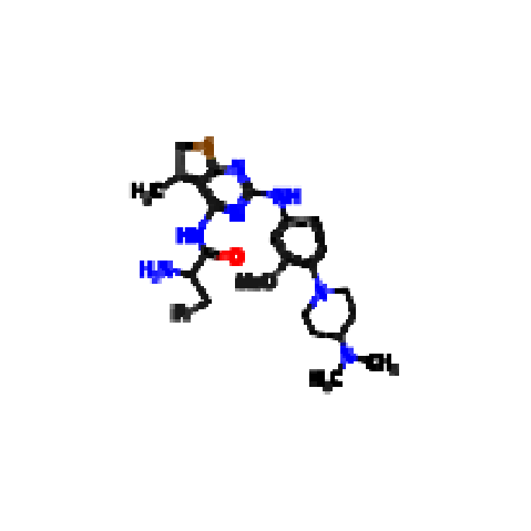 COc1cc(Nc2nc(NC(=O)C(N)CC(C)C)c3c(C)csc3n2)ccc1N1CCC(N(C)C)CC1